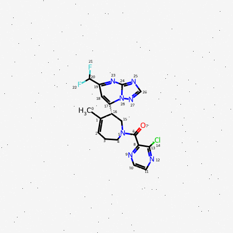 CC1=CCCN(C(=O)c2nccnc2Cl)C[C@H]1c1cc(C(F)F)nc2ncnn12